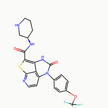 O=C(N[C@@H]1CCCNC1)c1sc2nccc3c2c1NC(=O)N3c1ccc(OC(F)(F)F)cc1